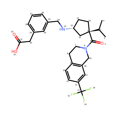 CC(C)[C@]1(C(=O)N2CCc3ccc(C(F)(F)F)cc3C2)CC[C@@H](NCc2cccc(CC(=O)O)c2)C1